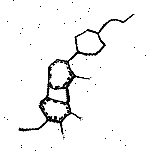 CCCC1CCC(c2ccc3c(c2F)-c2c-3cc(CC)c(F)c2F)CC1